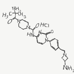 CC(C)(N)C(=O)N1CCN(C(=O)Nc2ccn(-c3ccc(CN4CC(N)C4)cc3)c(=O)n2)CC1.Cl